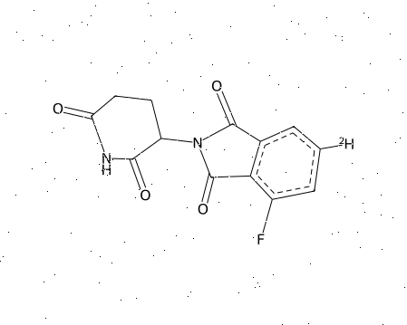 [2H]c1cc(F)c2c(c1)C(=O)N(C1CCC(=O)NC1=O)C2=O